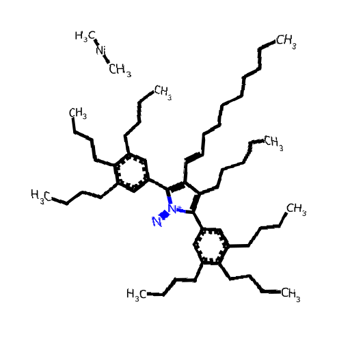 CCCCCCCCC=CC1=C(c2cc(CCCC)c(CCCC)c(CCCC)c2)[N+](=[N-])C(c2cc(CCCC)c(CCCC)c(CCCC)c2)=C1CCCCC.[CH3][Ni][CH3]